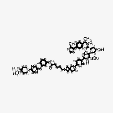 Cc1ncsc1-c1ccc([C@H](C)NC(=O)[C@@H]2C[C@@H](O)CN2C(=O)[C@@H](NC(=O)c2ccc(N3CCC4(CN(CCCCC(=O)Nc5cccc(Sc6cnc(N7CCC(C)(N)CC7)cn6)c5)C4)C3)nn2)C(C)(C)C)cc1